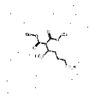 CC(C)(C)OC(=O)N(C(=O)OC(C)(C)C)C(CCCC(=O)O)C(=O)O